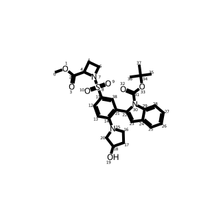 COC(=O)C1CCN1S(=O)(=O)c1ccc(N2CCC(O)C2)c(-c2cc3ccccc3n2C(=O)OC(C)(C)C)c1